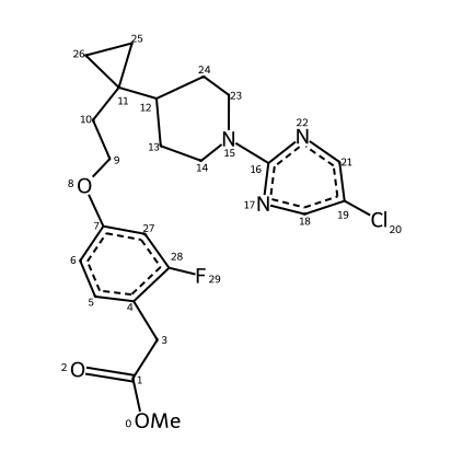 COC(=O)Cc1ccc(OCCC2(C3CCN(c4ncc(Cl)cn4)CC3)CC2)cc1F